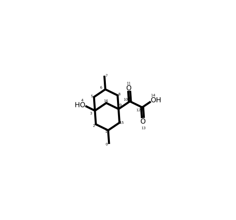 CC1CC2(O)CC(C)CC(C(=O)C(=O)O)(C1)C2